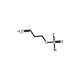 C=CCCOP(=O)(F)Br